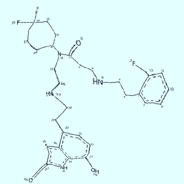 O=C(CCNCCc1ccccc1F)N(CCNCCc1ccc(O)c2[nH]c(=O)sc12)C1CCC(F)(F)CC1